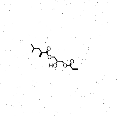 C=CC(=O)OCC(O)COC(=O)C(=C)CC(C)C